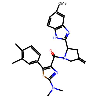 C=C1CC(c2nc3cc(OC)ccc3[nH]2)N(C(=O)c2nc(N(C)C)sc2-c2ccc(C)c(C)c2)C1